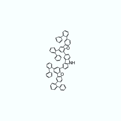 c1ccc(-c2ccccc2-c2ccc3oc4c(-c5ccc6[nH]c7ccc(-c8cc(-c9ccccc9-c9ccccc9)cc9c8oc8ccc(-c%10ccccc%10-c%10ccccc%10)cc89)cc7c6c5)cc(-c5ccccc5-c5ccccc5)cc4c3c2)cc1